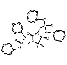 CC1(C)C(=O)N(CP(=O)(Oc2ccccc2)Oc2ccccc2)C(=O)N1CP(=O)(Oc1ccccc1)Oc1ccccc1